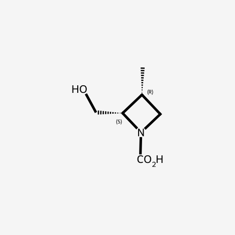 C[C@@H]1CN(C(=O)O)[C@@H]1CO